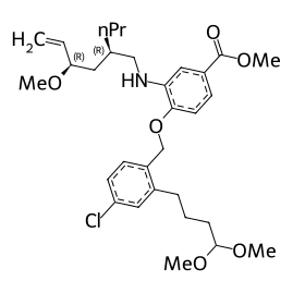 C=C[C@@H](C[C@@H](CCC)CNc1cc(C(=O)OC)ccc1OCc1ccc(Cl)cc1CCCC(OC)OC)OC